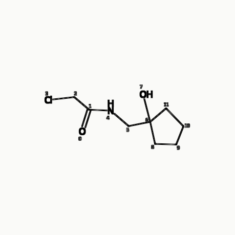 O=C(CCl)NCC1(O)CCCC1